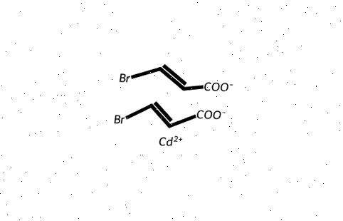 O=C([O-])/C=C/Br.O=C([O-])/C=C/Br.[Cd+2]